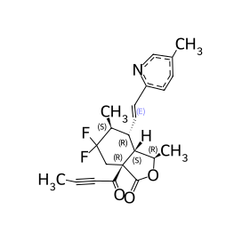 CC#CC(=O)[C@@]12CC(F)(F)[C@@H](C)[C@H](/C=C/c3ccc(C)cn3)[C@@H]1[C@@H](C)OC2=O